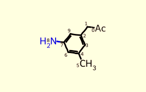 CC(=O)Cc1cc(C)cc(N)c1